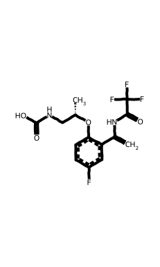 C=C(NC(=O)C(F)(F)F)c1cc(F)ccc1O[C@@H](C)CNC(=O)O